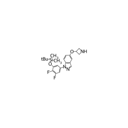 CC(C)(C)[Si](C)(C)Oc1cc(-n2ncc3cc(OC4CNC4)ccc32)cc(F)c1F